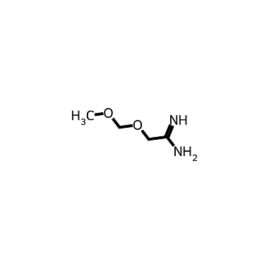 COCOCC(=N)N